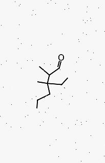 CCCC(C)(CC)C(C)C=O